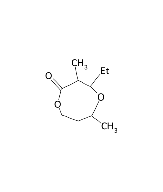 CCC1OC(C)CCOC(=O)C1C